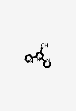 C#Cc1cc(-c2ccccn2)nc(-c2ccccn2)c1